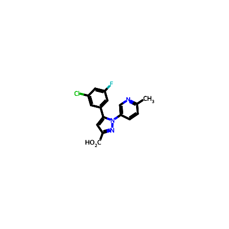 Cc1ccc(-n2nc(C(=O)O)cc2-c2cc(F)cc(Cl)c2)cn1